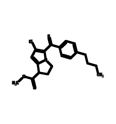 CCCCc1ccc(C(=S)c2c(Cl)cc3n2CCC3C(=O)OC)cc1